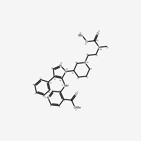 COC(=O)c1ccncc1Nc1c(-c2ccccc2)cnn1C1CCCN(CCN(C)C(=O)OC(C)(C)C)C1